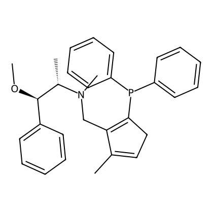 CO[C@H](c1ccccc1)[C@H](C)N(C)CC1=C(P(c2ccccc2)c2ccccc2)CC=C1C